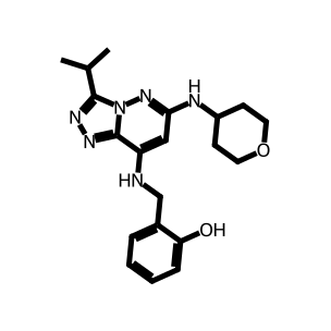 CC(C)c1nnc2c(NCc3ccccc3O)cc(NC3CCOCC3)nn12